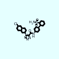 NS(=O)(=O)c1ccccc1-c1ccc(NC(=O)c2nnnn2-c2ccc3cc(Cl)ccc3c2)cc1